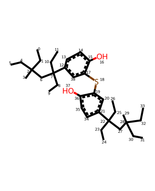 CCC(C)(CC)CC(CC)(CC)c1ccc(O)c(Sc2cc(C(CC)(CC)CC(C)(CC)CC)ccc2O)c1